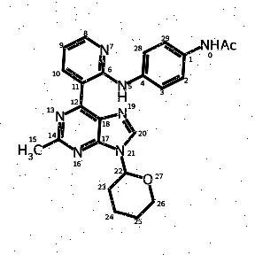 CC(=O)Nc1ccc(Nc2ncccc2-c2nc(C)nc3c2ncn3C2CCCCO2)cc1